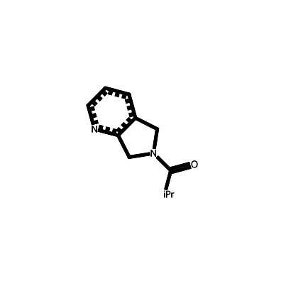 CC(C)C(=O)N1Cc2cccnc2C1